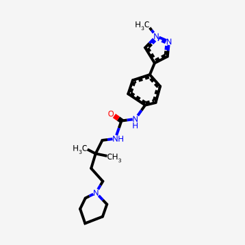 Cn1cc(-c2ccc(NC(=O)NCC(C)(C)CCN3CCCCC3)cc2)cn1